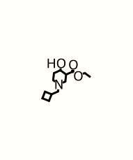 CCOC(=O)C1CN(CC2CCC2)CCC1O